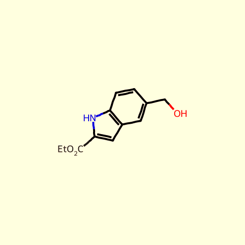 CCOC(=O)c1cc2cc(CO)ccc2[nH]1